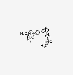 CCNC(=O)N1CCN(c2ccnn3cc(-c4ccc(C5(OC)CCCN(C(C)C)C5)cc4)cc23)CC1